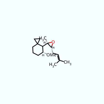 CO[C@@H]1CCCC2(CC2)C1[C@@]1(C)O[C@@H]1CC=C(C)C